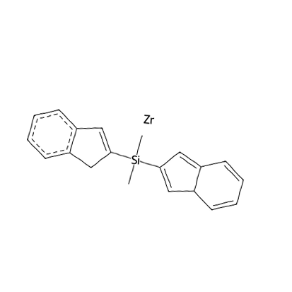 C[Si](C)(C1=CC2C=CC=CC2=C1)C1=Cc2ccccc2C1.[Zr]